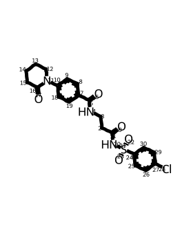 O=C(CCNC(=O)c1ccc(N2CCCCC2=O)cc1)NS(=O)(=O)c1ccc(Cl)cc1